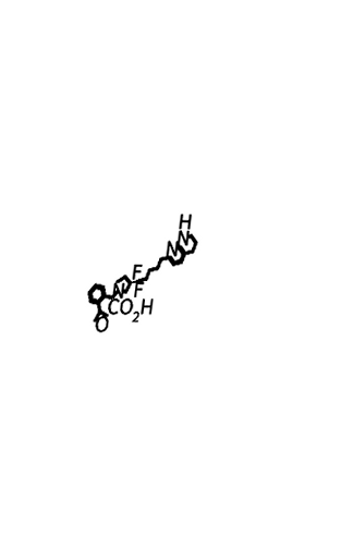 O=C(O)C(c1ccccc1C1COC1)N1CC[C@@H](C(F)(F)CCCCc2ccc3c(n2)NCCC3)C1